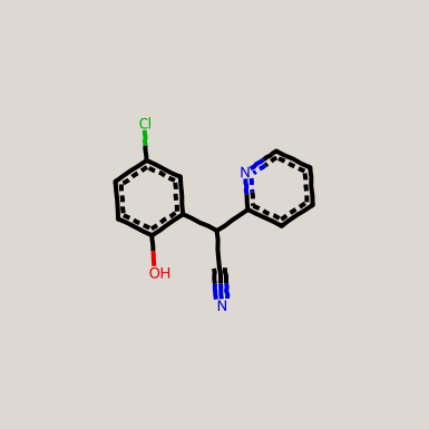 N#CC(c1ccccn1)c1cc(Cl)ccc1O